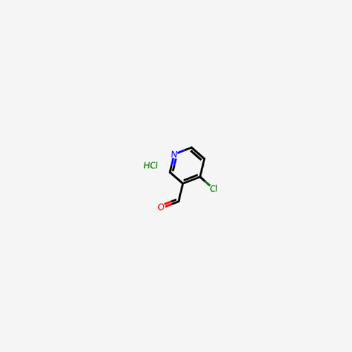 Cl.O=Cc1cnccc1Cl